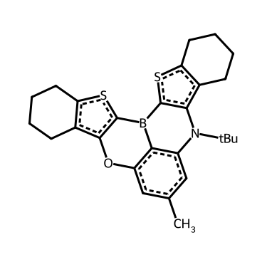 Cc1cc2c3c(c1)N(C(C)(C)C)c1c(sc4c1CCCC4)B3c1sc3c(c1O2)CCCC3